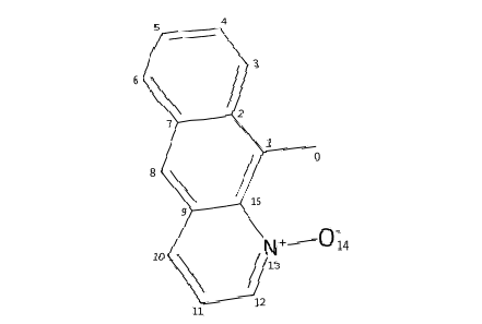 Cc1c2ccccc2cc2ccc[n+]([O-])c12